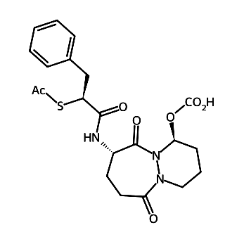 CC(=O)S[C@@H](Cc1ccccc1)C(=O)N[C@H]1CCC(=O)N2CCC[C@H](OC(=O)O)N2C1=O